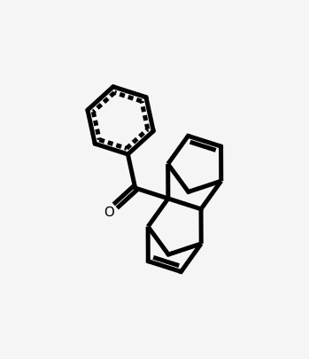 O=C(c1ccccc1)C12C3C=CC(C3)C1C1C=CC2C1